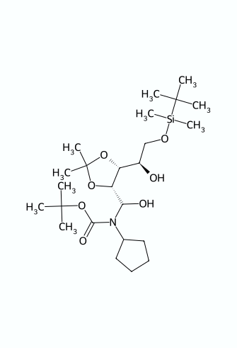 CC(C)(C)OC(=O)N(C1CCCC1)C(O)[C@@H]1OC(C)(C)O[C@@H]1[C@H](O)CO[Si](C)(C)C(C)(C)C